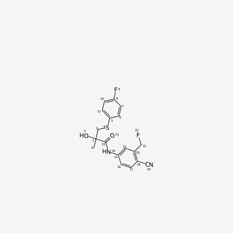 CC(O)(CSc1ccc(F)cc1)C(=O)Nc1ccc(C#N)c(CF)c1